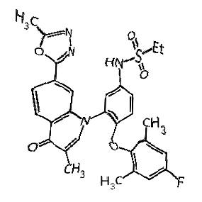 CCS(=O)(=O)Nc1ccc(Oc2c(C)cc(F)cc2C)c(-n2cc(C)c(=O)c3ccc(-c4nnc(C)o4)cc32)c1